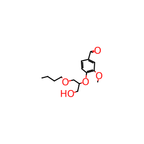 CCCCOCC(CO)Oc1ccc(C=O)cc1OC